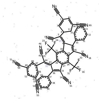 N#CC1=CC(/C(C#N)=C2\C(c3ccccc3)=C(C#N)c3c2c(C(F)(F)F)c2c(c3C(F)(F)F)C(C#N)=C(c3ccccc3)/C2=C(/C#N)c2cc(C#N)cc(C#N)c2)CC(C#N)=C1